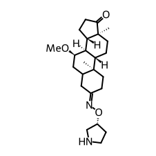 CO[C@@H]1CC2C/C(=N/O[C@@H]3CCNC3)CC[C@]2(C)[C@H]2CC[C@]3(C)C(=O)CC[C@H]3[C@H]12